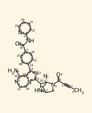 CC#CC(=O)N1CC2C[C@H]1C(c1nc(-c3ccc(C(=O)Nc4ccccn4)cc3)c3c(N)nccn13)N2